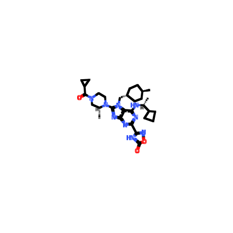 C[C@@H]1CN(C(=O)C2CC2)CCN1c1nc2nc(-c3noc(=O)[nH]3)nc(N[C@H](C)C3CCC3)c2n1C[C@H]1CC[C@H](C)CC1